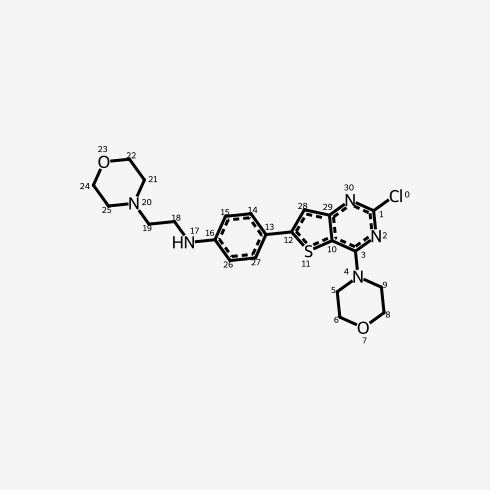 Clc1nc(N2CCOCC2)c2sc(-c3ccc(NCCN4CCOCC4)cc3)cc2n1